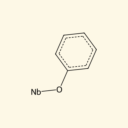 [Nb][O]c1ccccc1